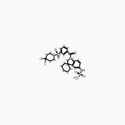 CS(=O)(=O)Nc1ccc2c(c1)C1(CCCCC1)CN2C(=O)c1cccc(S(=O)(=O)N2CCC(F)(F)CC2)c1